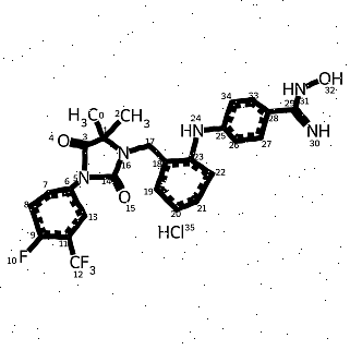 CC1(C)C(=O)N(c2ccc(F)c(C(F)(F)F)c2)C(=O)N1Cc1ccccc1Nc1ccc(C(=N)NO)cc1.Cl